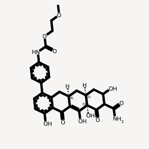 COCCOC(=O)Nc1ccc(-c2ccc(O)c3c2C[C@H]2C[C@H]4CC(O)C(C(N)=O)C(=O)[C@@]4(O)C(O)=C2C3=O)cc1